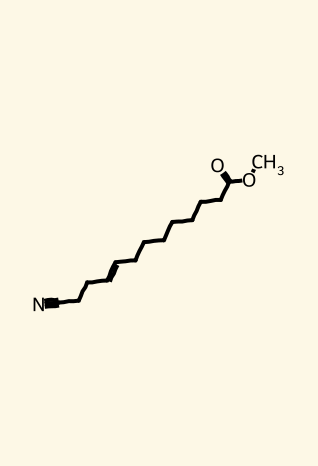 COC(=O)CCCCCCCC=CCCC#N